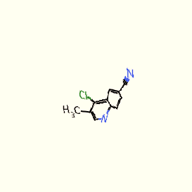 Cc1cnc2ccc(C#N)cc2c1Cl